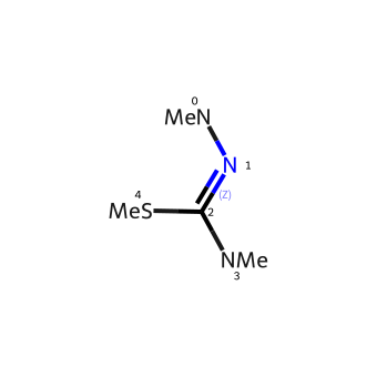 CN/N=C(/NC)SC